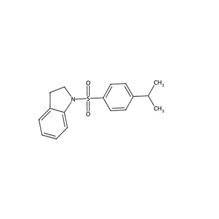 CC(C)c1ccc(S(=O)(=O)N2CCc3ccccc32)cc1